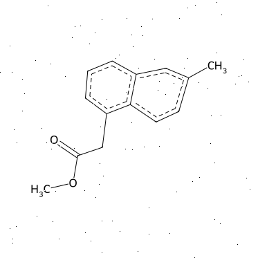 COC(=O)Cc1cccc2cc(C)ccc12